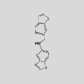 c1cc2ccc(CNc3ccc4scnc4c3)cc2s1